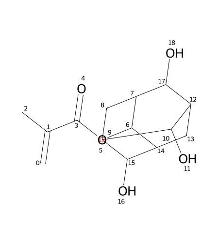 C=C(C)C(=O)OC1C2CC3C(O)C(CC1C3O)C2O